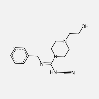 N#CNC(=NCc1c[c]ccc1)N1CCN(CCO)CC1